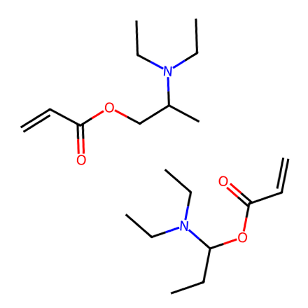 C=CC(=O)OC(CC)N(CC)CC.C=CC(=O)OCC(C)N(CC)CC